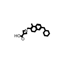 CC1=C(CN2CC(C(=O)O)C2)CCc2cc(CC3CCCCC3)ccc21